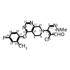 CN/N=C\C(=C(\Cl)C=O)N1CCc2c(ncnc2Oc2ccc(F)cc2C)C1